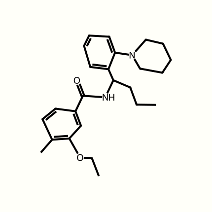 CCCC(NC(=O)c1ccc(C)c(OCC)c1)c1ccccc1N1CCCCC1